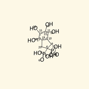 O=P(O)(O)C1(P(=O)(O)O)Cc2c(O)c(O)c(O)c(O)c2C1